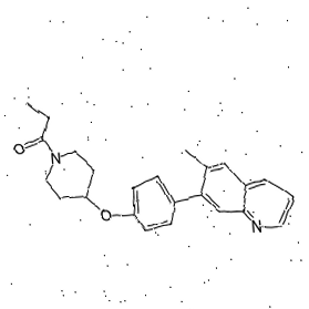 CCC(=O)N1CCC(Oc2ccc(-c3cc4ncccc4cc3C)cc2)CC1